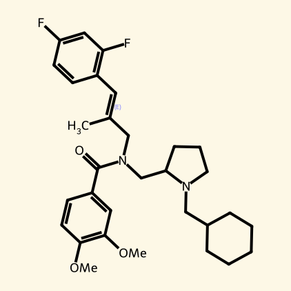 COc1ccc(C(=O)N(C/C(C)=C/c2ccc(F)cc2F)CC2CCCN2CC2CCCCC2)cc1OC